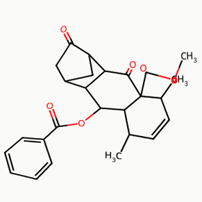 COC(=O)C12C(=O)C3C4CC(CC4=O)C3C(OC(=O)c3ccccc3)C1C(C)C=CC2C